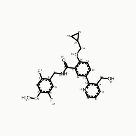 COc1cc(F)c(CNC(=O)c2cc(-c3ncccc3CO)ccc2OCC2CC2)cc1F